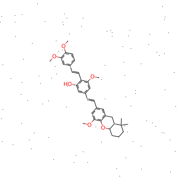 COc1ccc(/C=C/c2c(O)cc(/C=C/c3cc4c(c(OC)c3)OC3CCCC(C)(C)C3C4)cc2OC)cc1OC